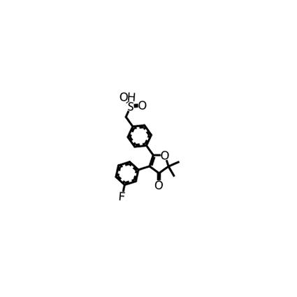 CC1(C)OC(c2ccc(C[SH](=O)=O)cc2)=C(c2cccc(F)c2)C1=O